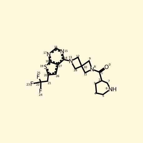 O=C(C1CCCNC1)N1CC2(C1)CN(c1ncnc3sc(CC(F)(F)F)cc13)C2